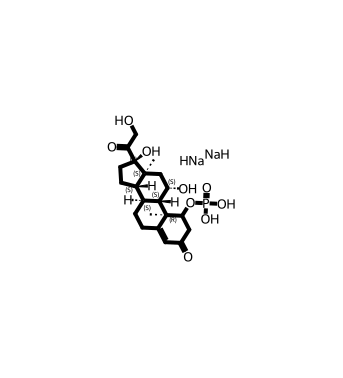 C[C@]12C[C@H](O)[C@H]3[C@@H](CCC4=CC(=O)CC(OP(=O)(O)O)[C@@]43C)[C@@H]1CC[C@]2(O)C(=O)CO.[NaH].[NaH]